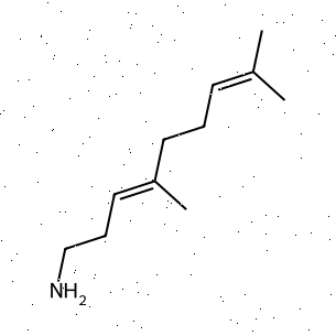 CC(C)=CCC/C(C)=C/CCN